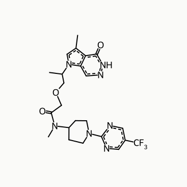 Cc1cn(C(C)COCC(=O)N(C)C2CCN(c3ncc(C(F)(F)F)cn3)CC2)c2cn[nH]c(=O)c12